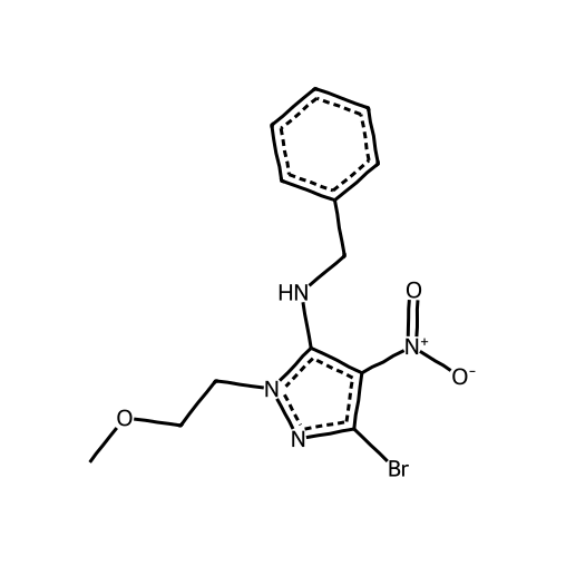 COCCn1nc(Br)c([N+](=O)[O-])c1NCc1ccccc1